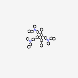 c1ccc(-c2ccc3c(c2)c2cc(-c4ccc(N(c5ccccc5)c5ccc6ccccc6c5)cc4)ccc2c2c(-c4ccc(N(c5ccccc5)c5ccc6ccccc6c5)cc4)c(-c4ccccc4)cc(-c4ccc(N(c5ccccc5)c5ccc6ccccc6c5)cc4)c32)cc1